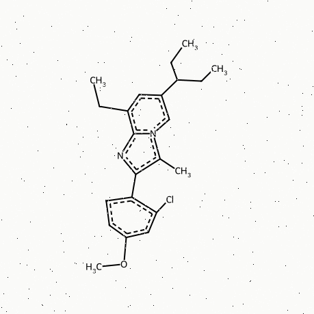 CCc1cc(C(CC)CC)cn2c(C)c(-c3ccc(OC)cc3Cl)nc12